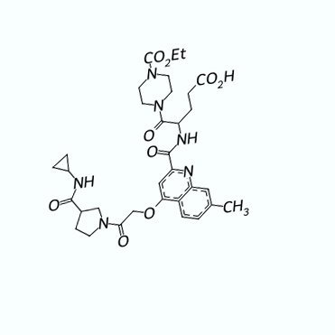 CCOC(=O)N1CCN(C(=O)C(CCC(=O)O)NC(=O)c2cc(OCC(=O)N3CCC(C(=O)NC4CC4)C3)c3ccc(C)cc3n2)CC1